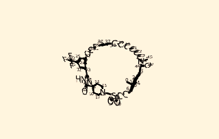 Cc1cc2ccc1CCS(=O)(=O)N1CCC3(CC1)N=C(NC3=O)c1cc(cc(C(F)(F)F)c1)OCC/C=C\CCCCCCN(C)C2=O